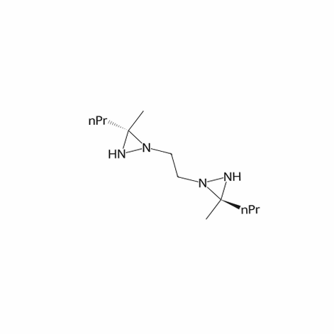 CCC[C@@]1(C)NN1CCN1N[C@@]1(C)CCC